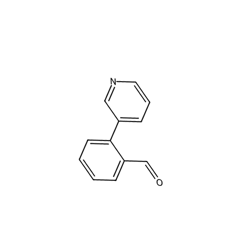 O=Cc1ccccc1-c1cccnc1